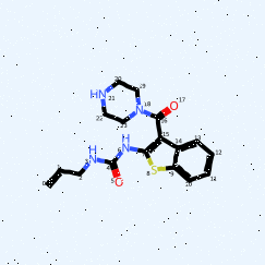 C=CCNC(=O)Nc1sc2ccccc2c1C(=O)N1CCNCC1